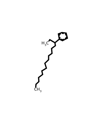 CCCCCCCCCCCCCC(CC)c1ccccc1